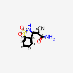 N#CC(C(N)=O)=C1NS(=O)(=O)c2ccccc21